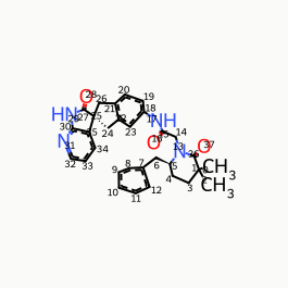 CC1(C)CC[C@@H](Cc2ccccc2)N(CC(=O)Nc2ccc3c(c2)C[C@@]2(C3)C(=O)Nc3ncccc32)C1=O